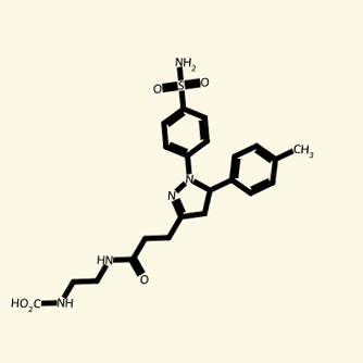 Cc1ccc(C2CC(CCC(=O)NCCNC(=O)O)=NN2c2ccc(S(N)(=O)=O)cc2)cc1